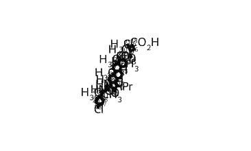 CC(C)C1=C2[C@H]3CC[C@@H]4[C@@]5(C)CC[C@H](OC(=O)[C@H]6C[C@@H](C(=O)O)C6(C)C)C(C)(C)[C@@H]5CC[C@@]4(C)[C@]3(C)CC[C@@]2(NC(=O)NC(C)(C)c2ccc(Cl)cc2)CC1=O